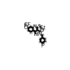 CCSc1nc2cc(OC(F)(F)F)ccc2c(C)c1C(=O)NCc1ccc(F)cc1